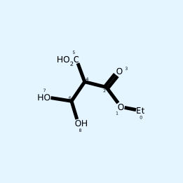 CCOC(=O)C(C(=O)O)C(O)O